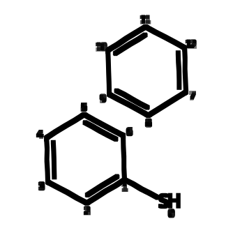 Sc1ccccc1.c1ccccc1